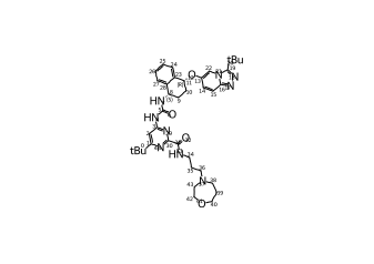 CC(C)(C)c1cc(NC(=O)N[C@H]2CC[C@@H](Oc3ccc4nnc(C(C)(C)C)n4c3)c3ccccc32)nc(C(=O)NCCCN2CCCOCC2)n1